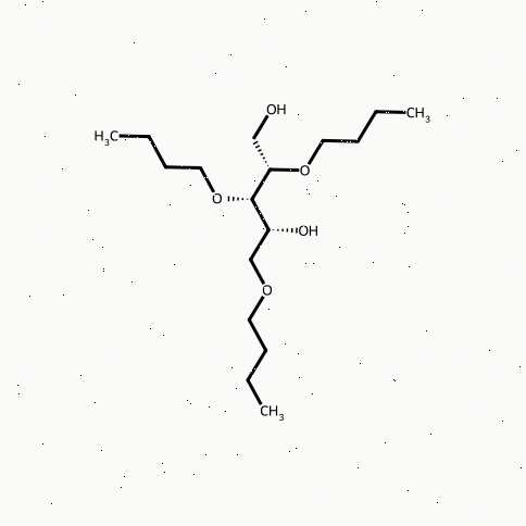 CCCCOC[C@@H](O)[C@H](OCCCC)[C@H](CO)OCCCC